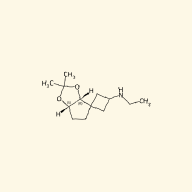 CCNC1CC2(CC[C@@H]3OC(C)(C)O[C@@H]32)C1